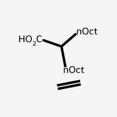 C=C.CCCCCCCCC(CCCCCCCC)C(=O)O